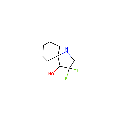 OC1C(F)(F)CNC12CCCCC2